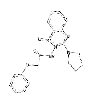 O=C(COc1ccccc1)Nn1c(N2CCCC2)nc2ccccc2c1=O